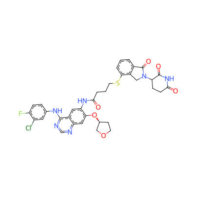 O=C1CCC(N2Cc3c(SCCCC(=O)Nc4cc5c(Nc6ccc(F)c(Cl)c6)ncnc5cc4O[C@H]4CCOC4)cccc3C2=O)C(=O)N1